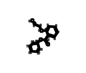 O=[C]COc1ccccc1C(=O)Oc1ccccc1